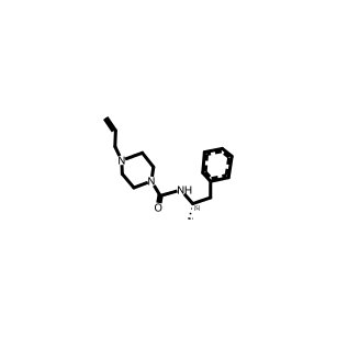 [CH2][C@@H](Cc1ccccc1)NC(=O)N1CCN(CC=C)CC1